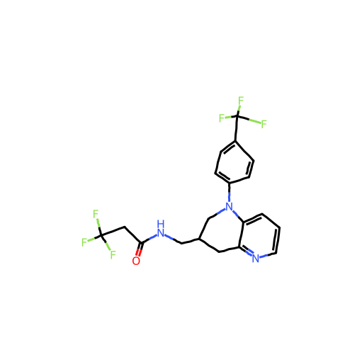 O=C(CC(F)(F)F)NCC1Cc2ncccc2N(c2ccc(C(F)(F)F)cc2)C1